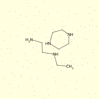 C1CNCCN1.CCNCCN